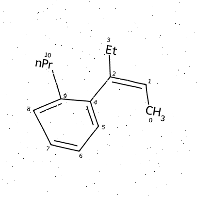 C/C=C(/CC)c1ccccc1CCC